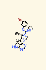 Cc1c[nH]c2ncnc(N3CCN(C(=Nc4cccc(Br)c4)NC#N)[C@@H](C(C)C)C3)c12